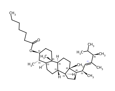 CCCCCCC(=O)O[C@H]1CC[C@@]2(C)[C@@H](CC[C@@H]3[C@@H]2CC[C@]2(C)[C@@H]([C@H](C)/C=C(\C)[C@H](C)C(C)C)CC[C@@H]32)[C@@H]1C